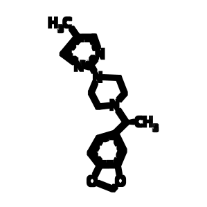 Cc1cnc(N2CCN([C@@H](C)c3ccc4c(c3)OCO4)CC2)nc1